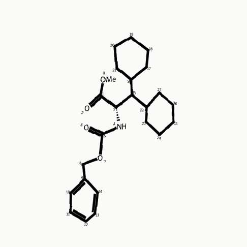 COC(=O)[C@@H](NC(=O)OCc1ccccc1)C(C1CCCCC1)C1CCCCC1